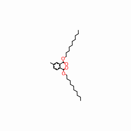 CCCCCCCCCCOC(=O)c1ccc(C)cc1C(=O)OCCCCCCCCCC